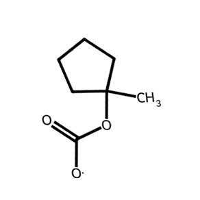 CC1(OC([O])=O)CCCC1